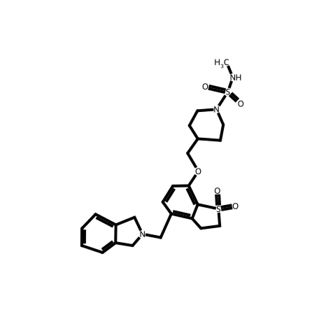 CNS(=O)(=O)N1CCC(COc2ccc(CN3Cc4ccccc4C3)c3c2S(=O)(=O)CC3)CC1